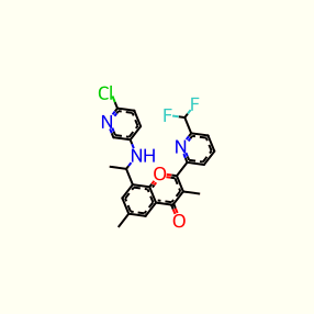 Cc1cc(C(C)Nc2ccc(Cl)nc2)c2oc(-c3cccc(C(F)F)n3)c(C)c(=O)c2c1